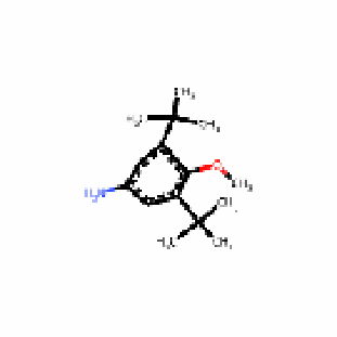 COc1c(C(C)(C)C)cc(N)cc1C(C)(C)C